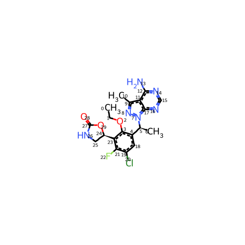 CCOc1c([C@H](C)n2nc(C)c3c(N)ncnc32)cc(Cl)c(F)c1[C@H]1CNC(=O)O1